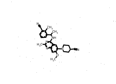 COc1cc2nc(C)nc(NC(C)c3cccc(C#N)c3C)c2cc1N1CCC(C#N)CC1